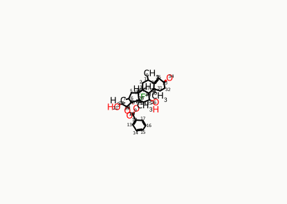 CC1C[C@H]2[C@@H]3CC(C)[C@](OC(=O)c4ccccc4)(C(=O)CO)[C@@]3(C)CC(O)[C@]2(F)[C@@]2(C)CCC(=O)C=C12